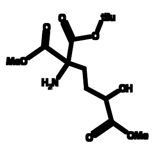 COC(=O)C(O)CCC(N)(C(=O)OC)C(=O)OC(C)(C)C